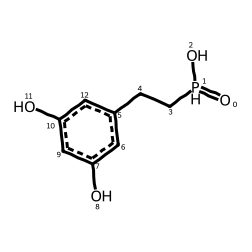 O=[PH](O)CCc1cc(O)cc(O)c1